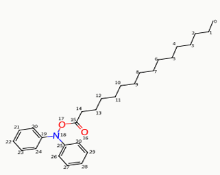 CCCCCCCCCCCCCCCC(=O)ON(c1ccccc1)c1ccccc1